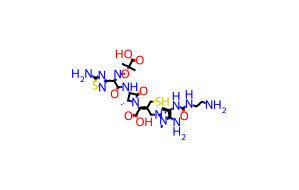 C[C@@H]1[C@H](NC(=O)/C(=N\OC(C)(C)C(=O)O)c2nsc(N)n2)C(=O)N1/C(C(=O)O)=C(\CS)C[n+]1cc(NC(=O)NCCN)c(N)n1C